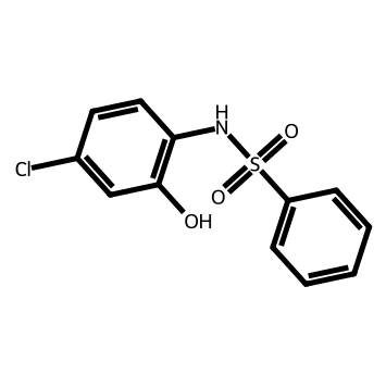 O=S(=O)(Nc1ccc(Cl)cc1O)c1ccccc1